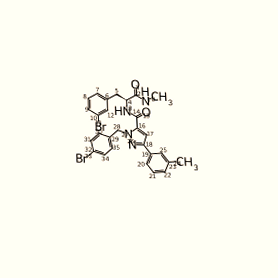 CNC(=O)[C@H](Cc1cccc(Br)c1)NC(=O)c1cc(-c2cccc(C)c2)nn1Cc1ccc(Br)cc1